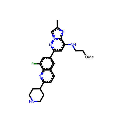 COCCNc1cc(-c2cc(F)c3nc(C4CCNCC4)ccc3c2)nn2cc(C)nc12